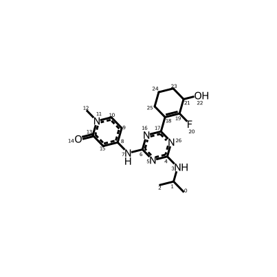 CC(C)Nc1nc(Nc2ccn(C)c(=O)c2)nc(C2=C(F)C(O)CCC2)n1